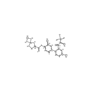 C=C(Cn1cnc(-c2ccc(Cl)cc2NC(=O)C(C)(C)C)cc1=O)N1CCC2(COC2)C1